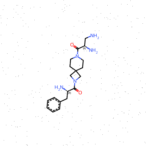 NC[C@@H](N)C(=O)N1CCC2(CC1)CN(C(=O)[C@H](N)Cc1ccccc1)C2